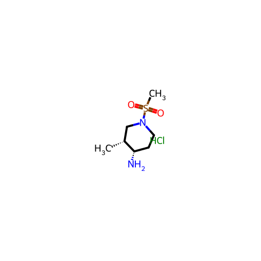 C[C@@H]1CN(S(C)(=O)=O)CC[C@@H]1N.Cl